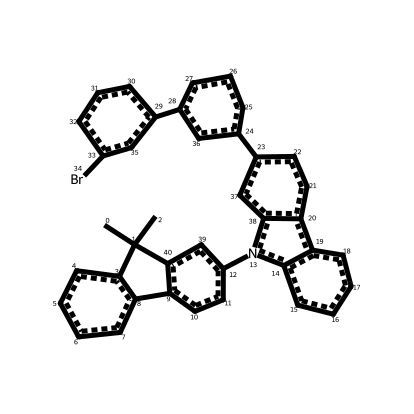 CC1(C)c2ccccc2-c2ccc(-n3c4ccccc4c4ccc(-c5cccc(-c6cccc(Br)c6)c5)cc43)cc21